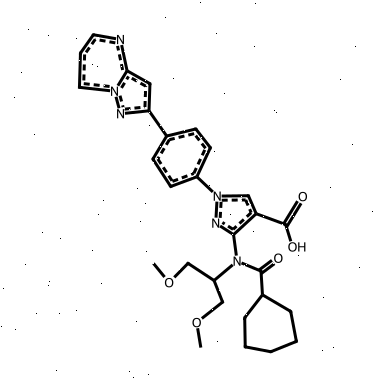 COCC(COC)N(C(=O)C1CCCCC1)c1nn(-c2ccc(-c3cc4ncccn4n3)cc2)cc1C(=O)O